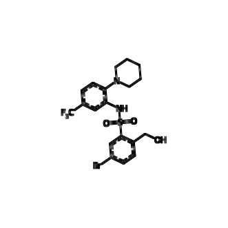 O=S(=O)(Nc1cc(C(F)(F)F)ccc1N1CCCCC1)c1cc(Br)ccc1CO